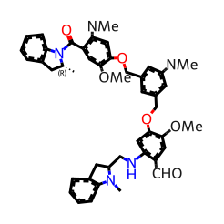 CNc1cc(COc2cc(NCC3Cc4ccccc4N3C)c(C=O)cc2OC)cc(COc2cc(NC)c(C(=O)N3c4ccccc4C[C@H]3C)cc2OC)c1